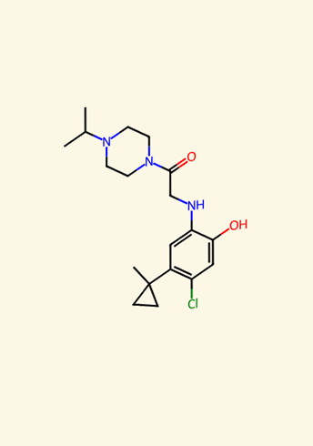 CC(C)N1CCN(C(=O)CNc2cc(C3(C)CC3)c(Cl)cc2O)CC1